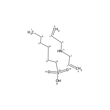 C=CCNCC=C.CCCCCCS(=O)(=O)O